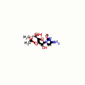 COC(C)O[C@H]1[C@@H](O)[C@H](n2ccc(N)nc2=O)O[C@@H]1CO